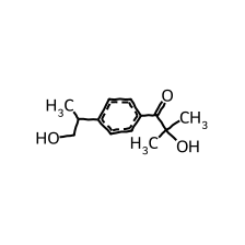 CC(CO)c1ccc(C(=O)C(C)(C)O)cc1